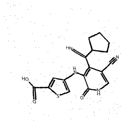 N#Cc1c[nH]c(=O)c(Nc2csc(C(=O)O)c2)c1C(=N)C1CCCC1